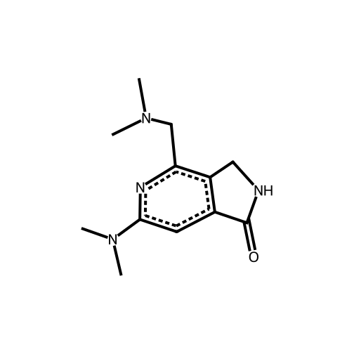 CN(C)Cc1nc(N(C)C)cc2c1CNC2=O